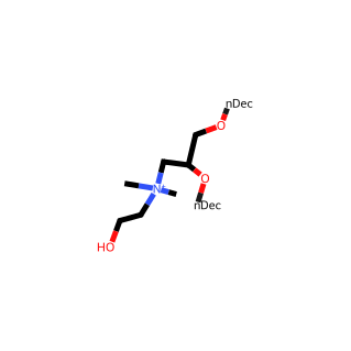 CCCCCCCCCCOCC(C[N+](C)(C)CCO)OCCCCCCCCCC